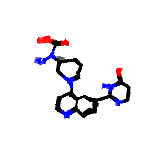 NN(C(=O)O)[C@H]1CCCN(c2ccnc3ccc(-c4nccc(=O)[nH]4)cc23)C1